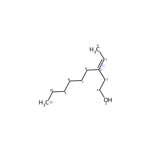 C/C=C(/CCO)CCCCCC